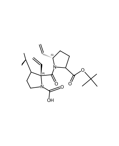 C=C[C@@H]1CCC(C(=O)OC(C)(C)C)N1C(=O)[C@@]1(C=C)C(C(C)(C)C)CCN1C(=O)O